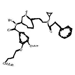 COCCCOc1cc(C(=O)N(C(C)C)C2CCC(CCN(C(=O)Cc3ccccc3)C3CC3)NC2)ccc1OC